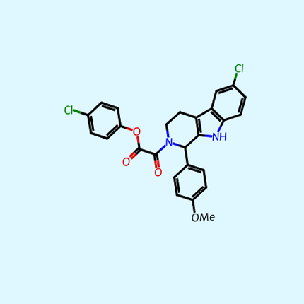 COc1ccc(C2c3[nH]c4ccc(Cl)cc4c3CCN2C(=O)C(=O)Oc2ccc(Cl)cc2)cc1